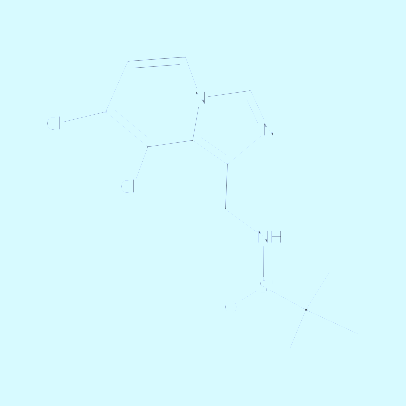 CC(C)(C)[S+]([O-])NCc1ncn2ccc(Cl)c(Cl)c12